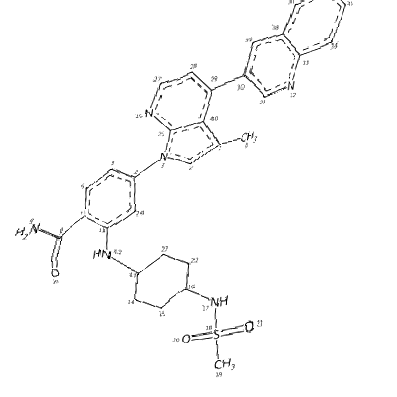 Cc1cn(-c2ccc(C(N)=O)c(NC3CCC(NS(C)(=O)=O)CC3)c2)c2nccc(-c3cnc4ccccc4c3)c12